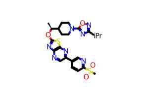 CC(C)c1noc(N2CCC([C@H](C)Oc3nc4ncc(-c5ccc(S(C)(=O)=O)nc5)nc4s3)CC2)n1